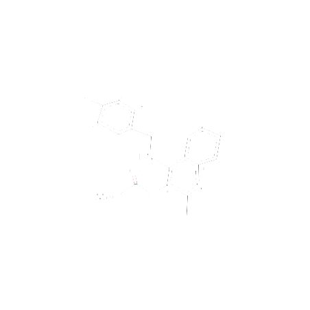 COC(=O)Oc1c(C)nc2ccccc2c1NCc1ccc(Br)cc1